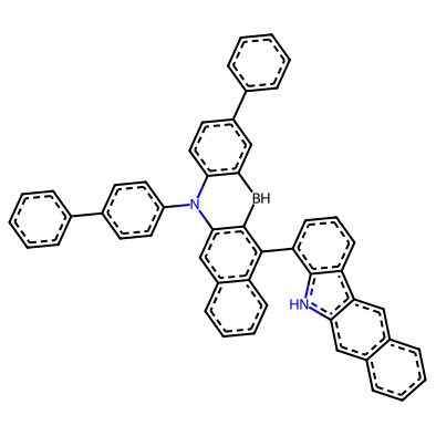 B1c2cc(-c3ccccc3)ccc2N(c2ccc(-c3ccccc3)cc2)c2cc3ccccc3c(-c3cccc4c3[nH]c3cc5ccccc5cc34)c21